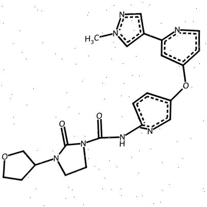 Cn1cc(-c2cc(Oc3ccc(NC(=O)N4CCN(C5CCOC5)C4=O)nc3)ccn2)cn1